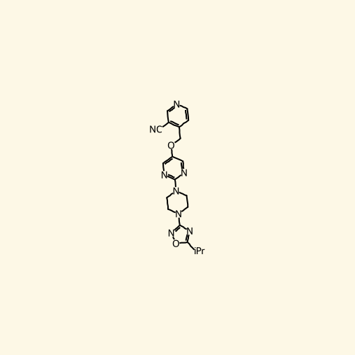 CC(C)c1nc(N2CCN(c3ncc(OCc4ccncc4C#N)cn3)CC2)no1